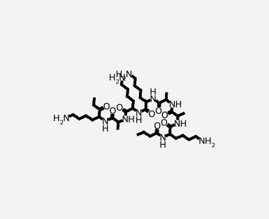 CCCC(=O)NC(CCCCN)C(=O)NC(C)C(=O)NC(C)C(=O)NC(CCCCN)C(=O)NC(CCCCN)C(=O)NC(C)C(=O)NC(CCCCN)C(=O)CC